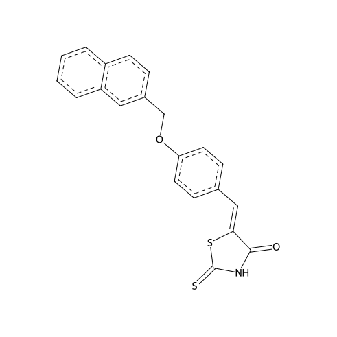 O=C1NC(=S)S/C1=C\c1ccc(OCc2ccc3ccccc3c2)cc1